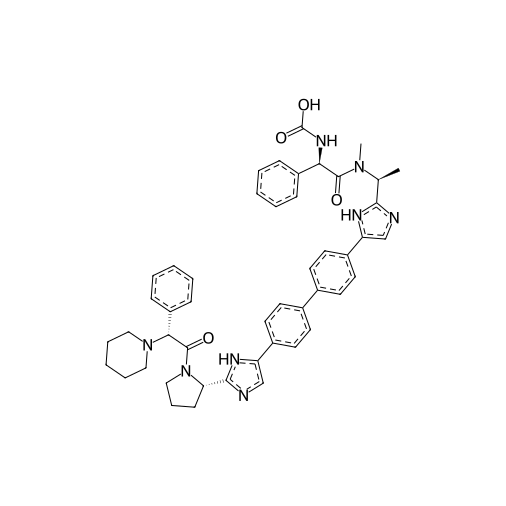 C[C@@H](c1ncc(-c2ccc(-c3ccc(-c4cnc([C@@H]5CCCN5C(=O)[C@@H](c5ccccc5)N5CCCCC5)[nH]4)cc3)cc2)[nH]1)N(C)C(=O)[C@H](NC(=O)O)c1ccccc1